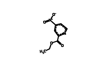 CCOC(=O)c1cc([N+](=O)[O-])ccn1